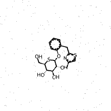 Cc1csc(Cc2ccccc2O[C@@H]2S[C@H](CO)[C@@H](O)[C@H](O)[C@H]2O)n1